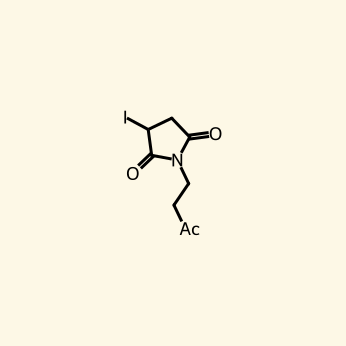 CC(=O)CCN1C(=O)CC(I)C1=O